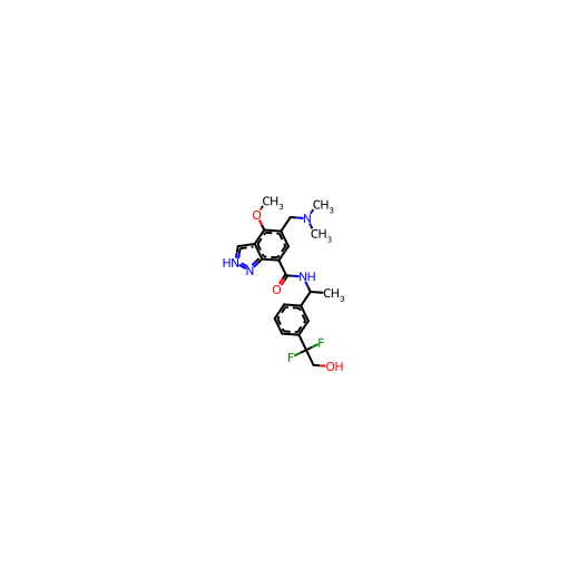 COc1c(CN(C)C)cc(C(=O)NC(C)c2cccc(C(F)(F)CO)c2)c2n[nH]cc12